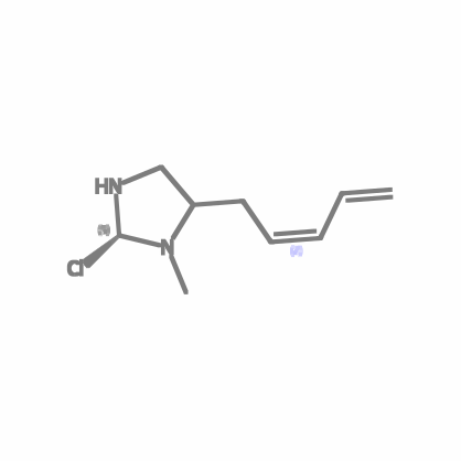 C=C/C=C\CC1CN[C@H](Cl)N1C